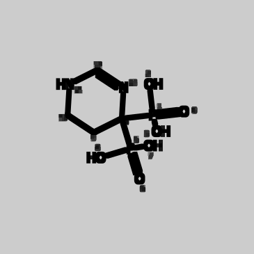 O=P(O)(O)C1(P(=O)(O)O)CCNC=N1